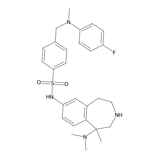 CN(Cc1ccc(S(=O)(=O)Nc2ccc3c(c2)CCNCC3(C)N(C)C)cc1)c1ccc(F)cc1